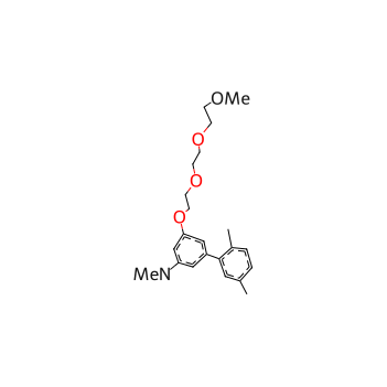 CNc1cc(OCCOCCOCCOC)cc(-c2cc(C)ccc2C)c1